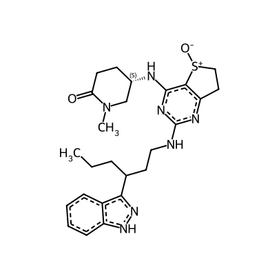 CCCC(CCNc1nc2c(c(N[C@H]3CCC(=O)N(C)C3)n1)[S+]([O-])CC2)c1n[nH]c2ccccc12